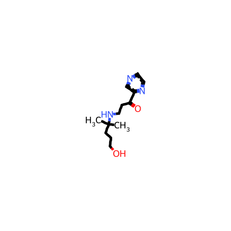 CC(C)(CCCO)NCCC(=O)c1cnccn1